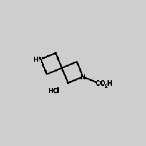 Cl.O=C(O)N1CC2(CNC2)C1